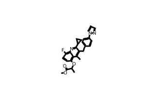 COC(=O)C(C)Oc1ccc(F)c2nc(C3CC3)c(Cc3ccc(-n4cccn4)cc3)c(C)c12